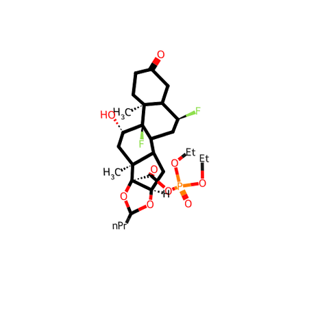 CCCC1O[C@@H]2CC3C4C[C@H](F)C5CC(=O)CC[C@]5(C)[C@@]4(F)[C@@H](O)C[C@]3(C)[C@]2(C(=O)OP(=O)(OCC)OCC)O1